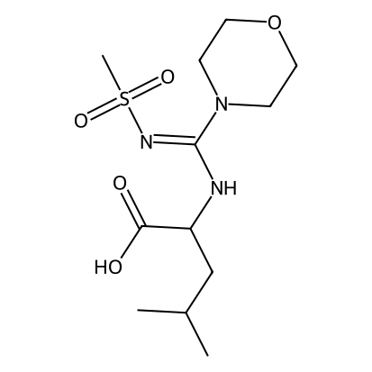 CC(C)CC(N/C(=N/S(C)(=O)=O)N1CCOCC1)C(=O)O